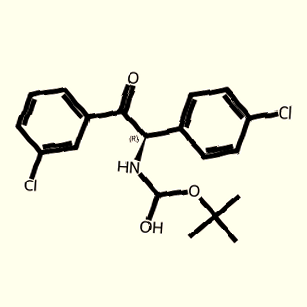 CC(C)(C)OC(O)N[C@@H](C(=O)c1cccc(Cl)c1)c1ccc(Cl)cc1